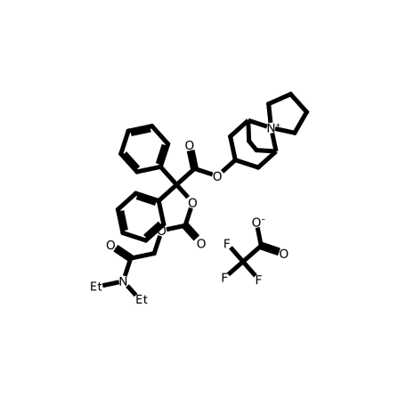 CCN(CC)C(=O)COC(=O)OC(C(=O)OC1CC2CCC(C1)[N+]21CCCC1)(c1ccccc1)c1ccccc1.O=C([O-])C(F)(F)F